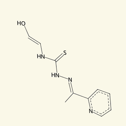 C/C(=N\NC(=S)NC=CO)c1ccccn1